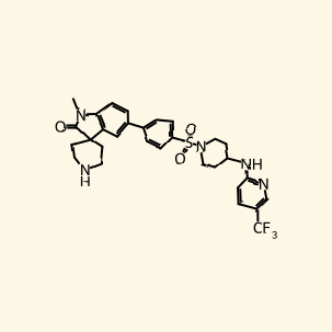 CN1C(=O)C2(CCNCC2)c2cc(-c3ccc(S(=O)(=O)N4CCC(Nc5ccc(C(F)(F)F)cn5)CC4)cc3)ccc21